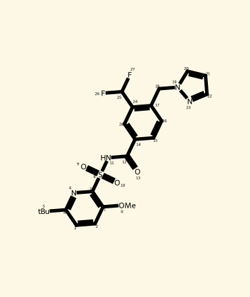 COc1ccc(C(C)(C)C)nc1S(=O)(=O)NC(=O)c1ccc(Cn2cccn2)c(C(F)F)c1